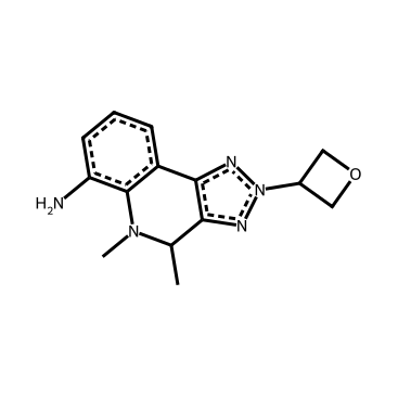 CC1c2nn(C3COC3)nc2-c2cccc(N)c2N1C